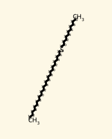 CCCCCCCCCCCCCCCCCCCCCCCCCCCCSCCCCCCCCCCCCC